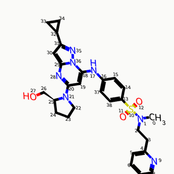 CN(CCc1ccccn1)S(=O)(=O)c1ccc(Nc2cc(N3CCC[C@H]3CO)nc3cc(C4CC4)nn23)cc1